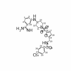 N=C(N)c1cccc(NC2CCN(S(=O)(=O)c3ccc(CNC(=O)c4ccc(Cl)cc4)o3)CC2)c1